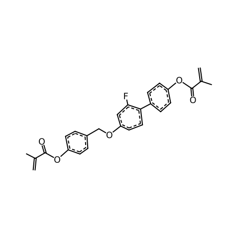 C=C(C)C(=O)Oc1ccc(COc2ccc(-c3ccc(OC(=O)C(=C)C)cc3)c(F)c2)cc1